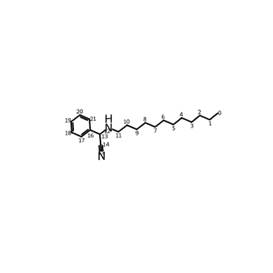 CCCCCCCCCCCCNC(C#N)c1ccccc1